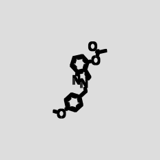 COc1ccc(Cn2cc3c(OC(C)=O)cccc3n2)cc1